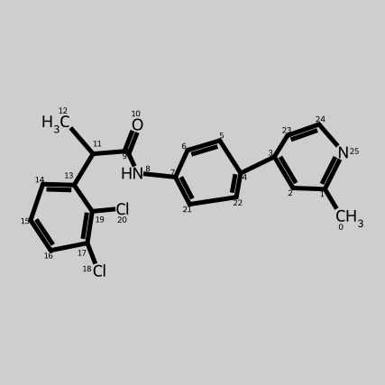 Cc1cc(-c2ccc(NC(=O)C(C)c3cccc(Cl)c3Cl)cc2)ccn1